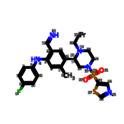 Cc1cc(Nc2ccc(F)cc2)c(C=N)cc1[C@@H]1CN(S(=O)(=O)c2cncs2)CCN1CC(C)C